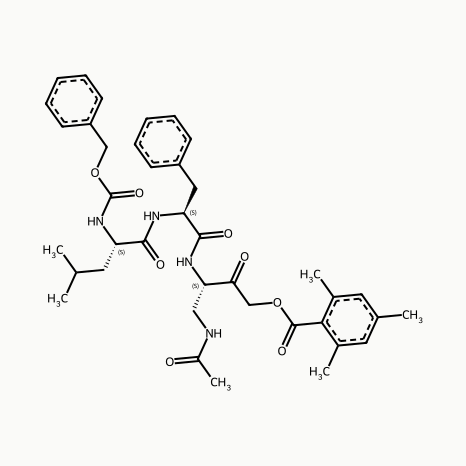 CC(=O)NC[C@H](NC(=O)[C@H](Cc1ccccc1)NC(=O)[C@H](CC(C)C)NC(=O)OCc1ccccc1)C(=O)COC(=O)c1c(C)cc(C)cc1C